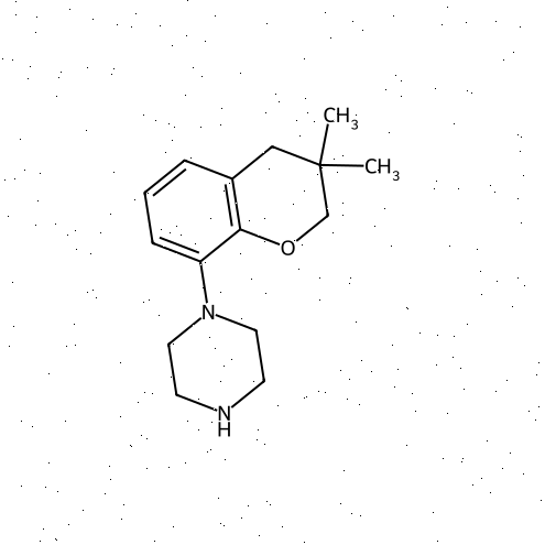 CC1(C)COc2c(cccc2N2CCNCC2)C1